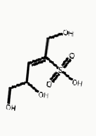 O=S(=O)(O)C(=CC(O)CO)CO